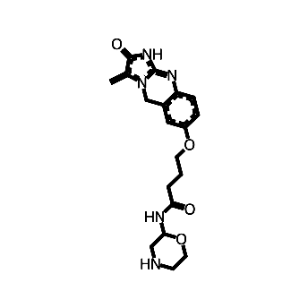 C=c1c(=O)[nH]c2n1Cc1cc(OCCCC(=O)NC3CNCCO3)ccc1N=2